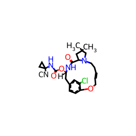 CC1(C)CC2C(=O)N[C@@H](OC(=O)NC3(C#N)CC3)Cc3ccc(c(Cl)c3)OC/C=C/CCN2C1